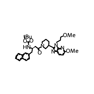 COCCCn1c(C2CCCN(C(=O)C[C@@H](Cc3ccc4ccccc4c3)NC(=O)OC(C)(C)C)C2)nc2ccc(OC)nc21